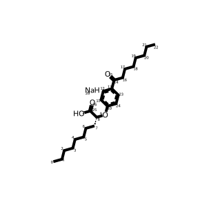 CCCCCCCC[C@@H](Oc1ccc(C(=O)CCCCCCC)cc1)C(=O)O.[NaH]